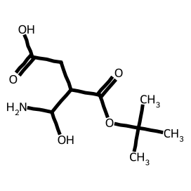 CC(C)(C)OC(=O)C(CC(=O)O)C(N)O